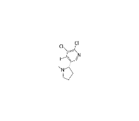 CN1CCC[C@H]1c1cnc(Cl)c(Cl)c1I